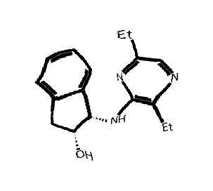 CCc1cnc(CC)c(N[C@H]2c3ccccc3C[C@H]2O)n1